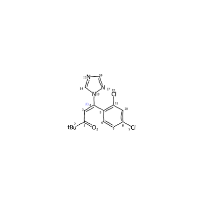 CC(C)(C)C(=O)/C=C(\c1ccc(Cl)cc1Cl)n1cncn1